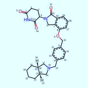 O=C1CCC(N2Cc3c(OCc4ccc(CN5C[C@H]6CCCC[C@H]6C5)cc4)cccc3C2=O)C(=O)N1